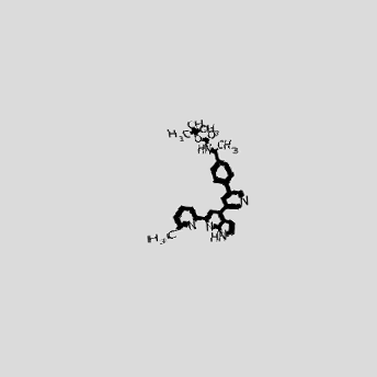 Cc1cccc(-c2cc(-c3cncc(-c4ccc([C@H](C)NC(=O)OC(C)(C)C)cc4)c3)c3cc[nH]c3n2)n1